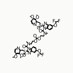 COc1ccnc(C[S+]([O-])c2nc3cc(OC(F)F)ccc3n2C(=O)N(C)CCOC(=O)OCCN(C)C(=O)n2c([S+]([O-])Cc3nccc(OC)c3OC)nc3cc(OC(F)F)ccc32)c1OC